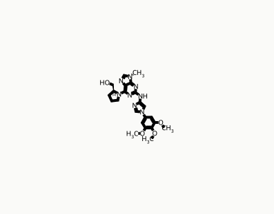 COc1cc(-n2cnc(Nc3nc(N4CCC[C@H]4CO)c4ncn(C)c4n3)c2)cc(OC)c1OC